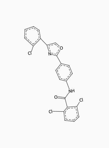 O=C(Nc1ccc(-c2nc(-c3ccccc3Cl)co2)cc1)c1c(Cl)cccc1Cl